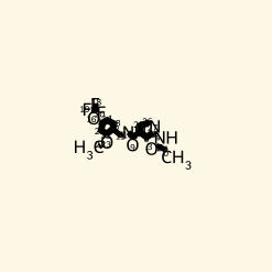 CCC(=O)Nc1cc(C(=O)NCc2ccc(OC(F)(F)F)cc2OC)ccn1